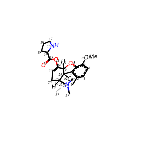 COc1ccc(C)c2c1O[C@H]1C(OC(=O)C3CCCN3)=CC[C@H]3[C@@H](C)N(C)CC[C@]213